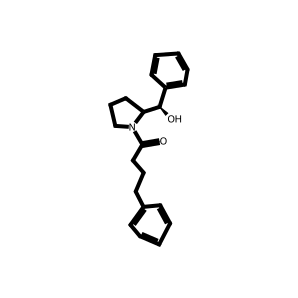 O=C(CCCc1ccccc1)N1CCCC1[C@H](O)c1ccccc1